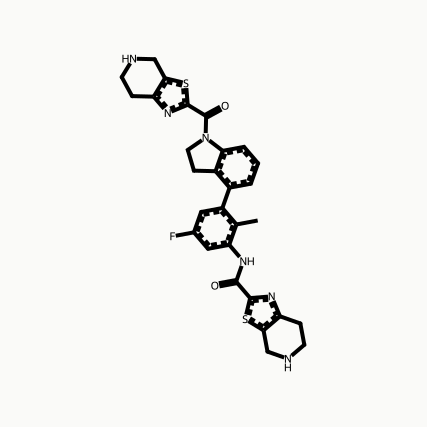 Cc1c(NC(=O)c2nc3c(s2)CNCC3)cc(F)cc1-c1cccc2c1CCN2C(=O)c1nc2c(s1)CNCC2